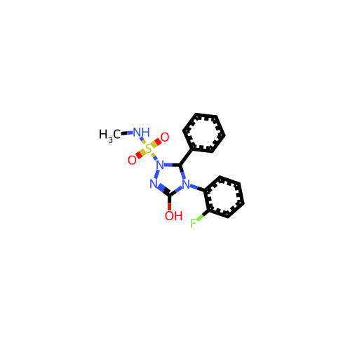 CNS(=O)(=O)N1N=C(O)N(c2ccccc2F)C1c1ccccc1